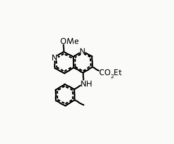 CCOC(=O)c1cnc2c(OC)nccc2c1Nc1ccccc1C